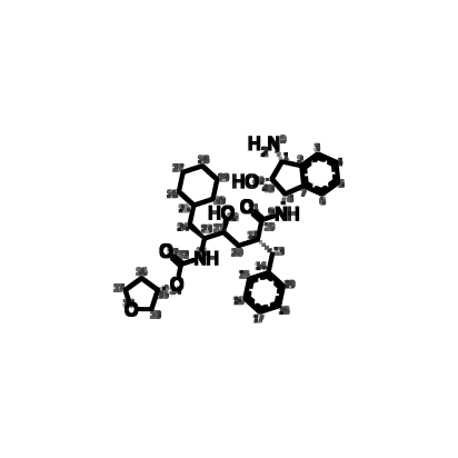 N[C@@H]1c2ccccc2[C@H](NC(=O)[C@H](Cc2ccccc2)C[C@H](O)[C@H](CC2CCCCC2)NC(=O)O[C@H]2CCOC2)[C@@H]1O